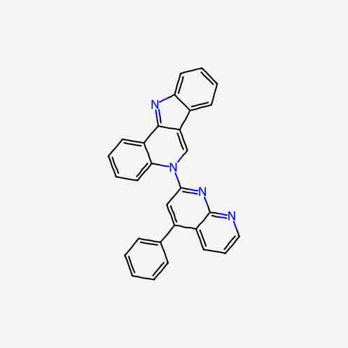 c1ccc(-c2cc(-n3cc4c5ccccc5nc-4c4ccccc43)nc3ncccc23)cc1